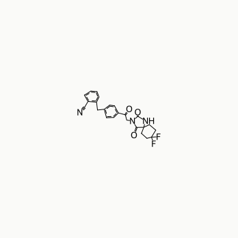 N#Cc1ccccc1Cc1ccc(C(=O)CN2C(=O)NC3(CCC(F)(F)CC3)C2=O)cc1